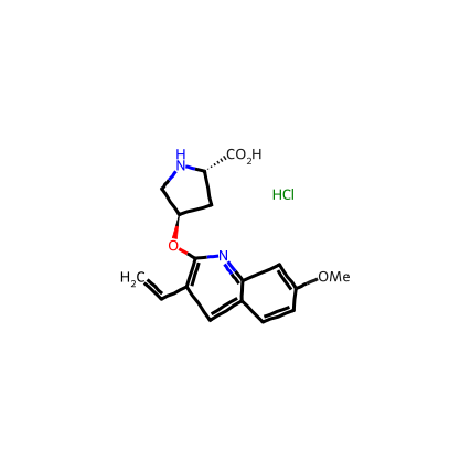 C=Cc1cc2ccc(OC)cc2nc1O[C@H]1CN[C@H](C(=O)O)C1.Cl